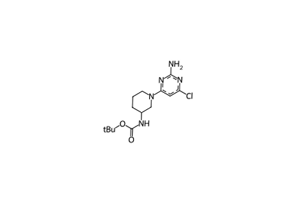 CC(C)(C)OC(=O)NC1CCCN(c2cc(Cl)nc(N)n2)C1